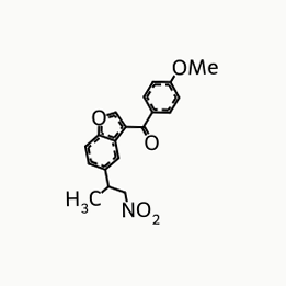 COc1ccc(C(=O)c2coc3ccc(C(C)C[N+](=O)[O-])cc23)cc1